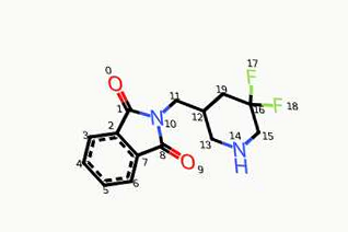 O=C1c2ccccc2C(=O)N1CC1CNCC(F)(F)C1